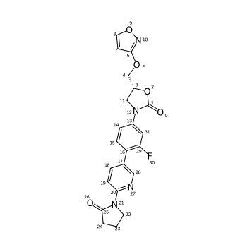 O=C1O[C@@H](COc2ccon2)CN1c1ccc(-c2ccc(N3CCCC3=O)nc2)c(F)c1